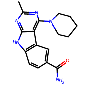 Cc1nc(N2CCCCC2)c2c(n1)[nH]c1ccc(C(N)=O)cc12